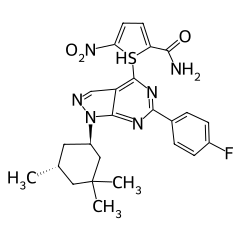 C[C@@H]1C[C@@H](n2ncc3c([SH]4C(C(N)=O)=CC=C4[N+](=O)[O-])nc(-c4ccc(F)cc4)nc32)CC(C)(C)C1